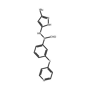 CC(C)(C)c1cc(NN(C=O)c2cccc(Sc3ccncc3)c2)[nH]n1